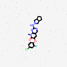 Cn1c(=O)c(Oc2ccc(Cl)cc2F)cc2cnc(NN3CC4CCCC4C3)nc21